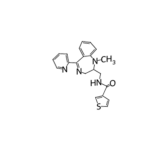 CN1c2ccccc2C(c2ccccn2)=NCC1CNC(=O)c1ccsc1